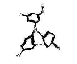 Fc1cc(F)cc(-n2c3ccc(Br)cc3c3cc(I)ccc32)c1